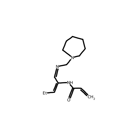 C=CC(=O)NC(/C=N\CN1CCCCCC1)=C/CC